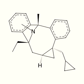 CC[C@@]12C[C@@H]3C[C@]3(CC3CC3)c3ccccc3[C@@](C)(c3ccccc31)N2C